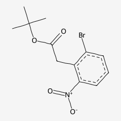 CC(C)(C)OC(=O)Cc1c(Br)cccc1[N+](=O)[O-]